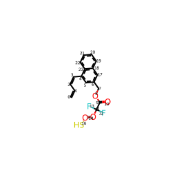 C=C/C=C\c1cc(COC(=O)C(F)(F)OOS)cc2ccccc12